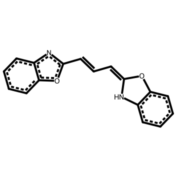 C(=Cc1nc2ccccc2o1)C=C1Nc2ccccc2O1